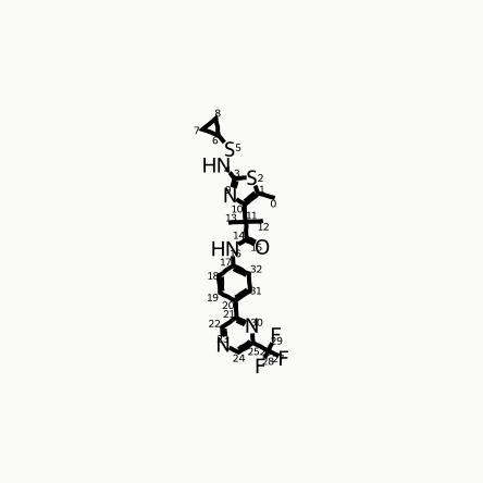 Cc1sc(NSC2CC2)nc1C(C)(C)C(=O)Nc1ccc(-c2cncc(C(F)(F)F)n2)cc1